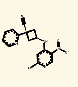 N#C[C@]1(c2ccccn2)C[C@H](Nc2cc(Cl)ncc2[N+](=O)[O-])C1